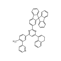 Cc1ccc(-c2cc(C3=CCCc4ccccc43)nc(-c3ccc4c(c3)C3(c5ccccc5-c5ccccc53)c3ccccc3-4)n2)cc1-c1cccnc1